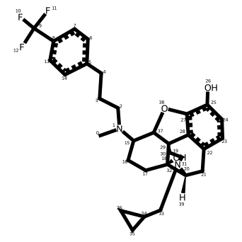 CN(CCCc1ccc(C(F)(F)F)cc1)C1CC[C@@]2(O)[C@H]3Cc4ccc(O)c5c4[C@@]2(CCN3CC2CC2)C1O5